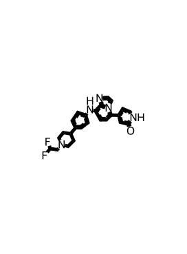 O=c1cc(-c2ccc(Nc3ccc(C4CCN(CC(F)F)CC4)cc3)c3nccn23)cc[nH]1